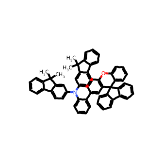 CC1(C)c2ccccc2-c2ccc(N(c3ccc4c(c3)C(C)(C)c3ccccc3-4)c3ccccc3-c3ccc4c(c3)C3(c5ccccc5O4)c4ccccc4-c4ccccc43)cc21